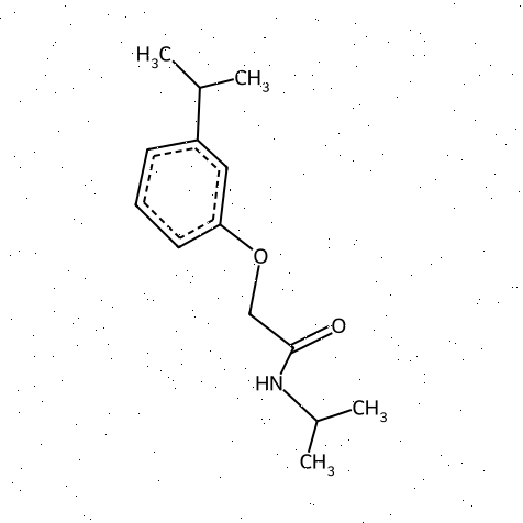 CC(C)NC(=O)COc1cccc(C(C)C)c1